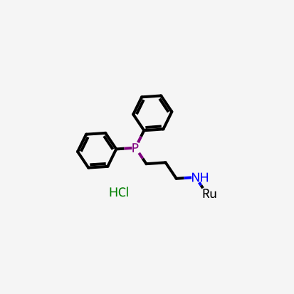 Cl.[Ru][NH]CCCP(c1ccccc1)c1ccccc1